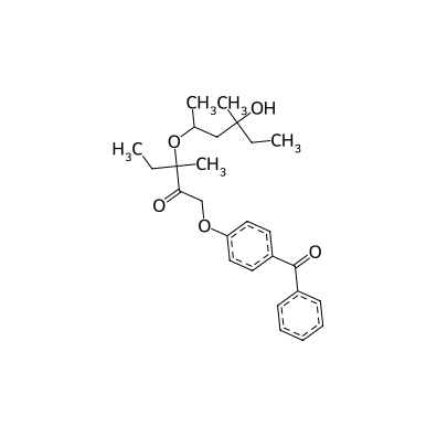 CCC(C)(O)CC(C)OC(C)(CC)C(=O)COc1ccc(C(=O)c2ccccc2)cc1